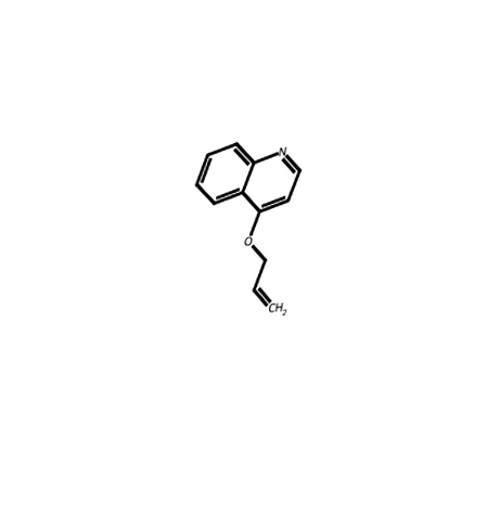 C=CCOc1ccnc2ccccc12